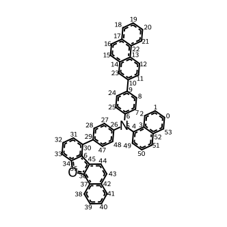 c1ccc2c(N(c3ccc(-c4ccc5c(ccc6ccccc65)c4)cc3)c3ccc(-c4cccc5oc6c7ccccc7ccc6c45)cc3)cccc2c1